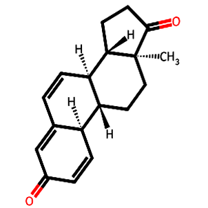 C[C@]12CC[C@H]3[C@@H](C=CC4=CC(=O)C=C[C@@H]43)[C@@H]1CCC2=O